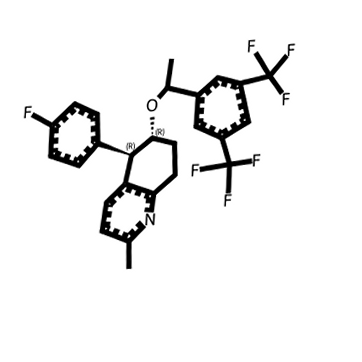 Cc1ccc2c(n1)CC[C@@H](OC(C)c1cc(C(F)(F)F)cc(C(F)(F)F)c1)[C@@H]2c1ccc(F)cc1